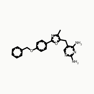 Cc1nc(-c2ccc(OCc3ccccc3)cc2)oc1Cc1cnc(N)nc1N